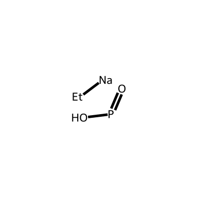 C[CH2][Na].O=PO